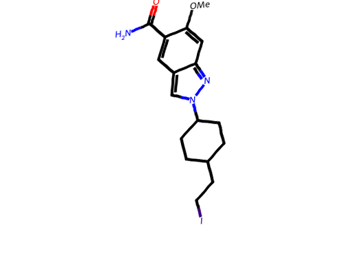 COc1cc2nn(C3CCC(CCI)CC3)cc2cc1C(N)=O